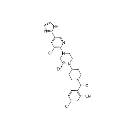 CC[C@H]1CN(c2ncc(-c3ncc[nH]3)cc2Cl)CCN1C1CCN(C(=O)c2ccc(Cl)cc2C#N)CC1